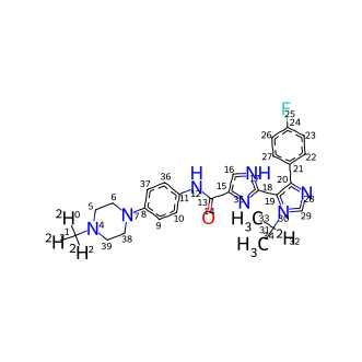 [2H]C([2H])([2H])N1CCN(c2ccc(NC(=O)c3c[nH]c(-c4c(-c5ccc(F)cc5)ncn4C([2H])(C)C)n3)cc2)CC1